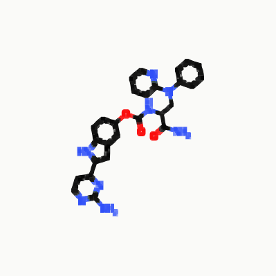 NC(=O)C(CN(c1ccccc1)c1ccccn1)NC(=O)Oc1ccc2[nH]c(-c3ccnc(N)n3)cc2c1